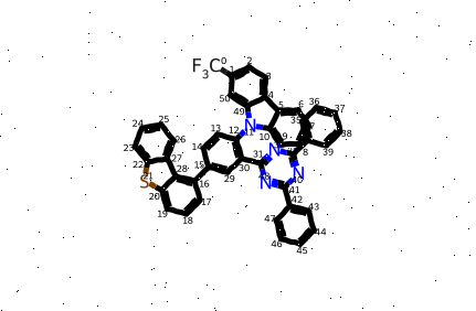 FC(F)(F)c1ccc2c3ccccc3n(-c3ccc(-c4cccc5sc6ccccc6c45)cc3-c3nc(-c4ccccc4)nc(-c4ccccc4)n3)c2c1